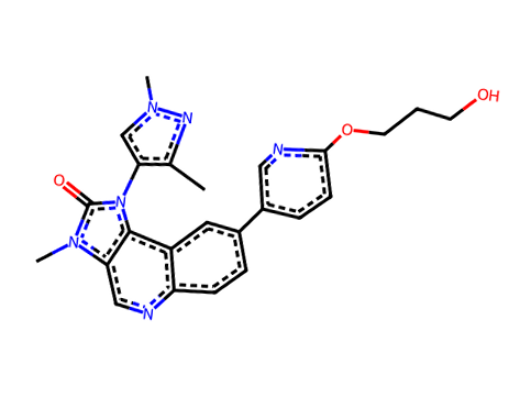 Cc1nn(C)cc1-n1c(=O)n(C)c2cnc3ccc(-c4ccc(OCCCO)nc4)cc3c21